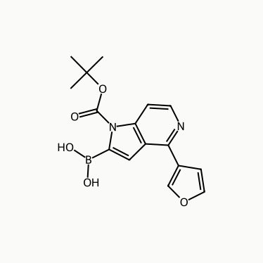 CC(C)(C)OC(=O)n1c(B(O)O)cc2c(-c3ccoc3)nccc21